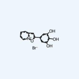 Oc1cc(-c2cc3cccc[n+]3o2)cc(O)c1O.[Br-]